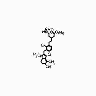 COC(=O)CC(CCNC=O)CCc1ccc(Cl)c(CC2=CC3=C(C)C(C#N)=CCC3N2C)c1Cl